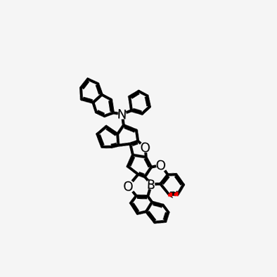 c1ccc(N(c2ccc3ccccc3c2)c2cc3oc4c5c6c(cc4c3c3ccccc23)Oc2ccc3ccccc3c2B6c2c(ccc3ccccc23)O5)cc1